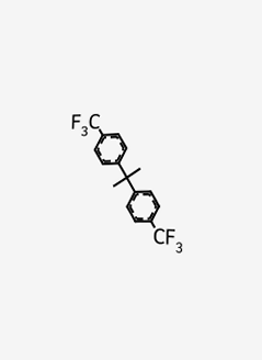 CC(C)(c1ccc(C(F)(F)F)cc1)c1ccc(C(F)(F)F)cc1